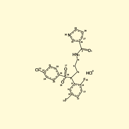 Cl.O=C(NCCCC(c1cc(F)ccc1F)S(=O)(=O)c1ccc(Cl)cc1)c1cccnc1